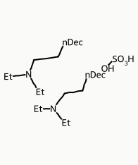 CCCCCCCCCCCCN(CC)CC.CCCCCCCCCCCCN(CC)CC.O=S(=O)(O)O